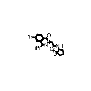 CC(C)c1nn(CC(=O)NC2CCCC2(F)F)c(=O)c2ccc(Br)cc12